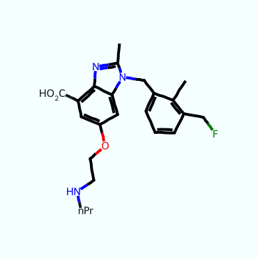 CCCNCCOc1cc(C(=O)O)c2nc(C)n(Cc3cccc(CF)c3C)c2c1